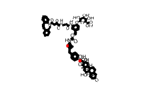 C[C@]12C=CC(=O)C=C1CC[C@@H]1[C@@H]2[C@@H](O)C[C@@]2(C)[C@H]1C[C@H]1O[C@@H](c3ccc(CC45CC(NC(=O)OCc6ccc(O[C@@H]7O[C@H](C(=O)O)[C@@H](O)[C@H](O)[C@H]7O)c(NC(=O)CCNC(=O)C(=O)CC(=O)N7Cc8ccccc8C#Cc8ccccc87)c6)(C4)C5)cc3)O[C@]12C(=O)CO